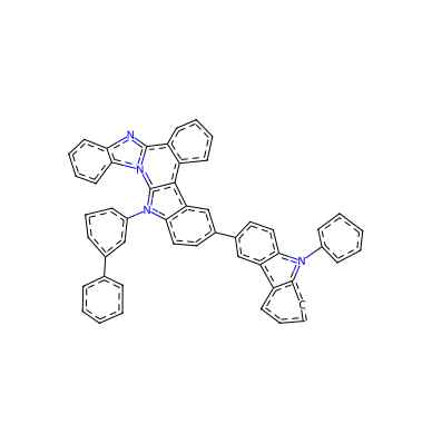 c1ccc(-c2cccc(-n3c4ccc(-c5ccc6c(c5)c5ccccc5n6-c5ccccc5)cc4c4c5ccccc5c5nc6ccccc6n5c43)c2)cc1